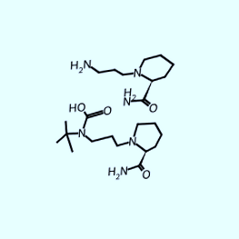 CC(C)(C)N(CCCN1CCCC[C@H]1C(N)=O)C(=O)O.NCCCN1CCCC[C@H]1C(N)=O